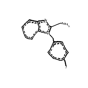 Nc1nc2ccccc2n1-c1ccc(I)cc1